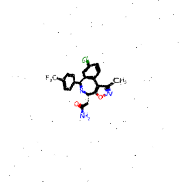 Cc1noc2c1-c1ccc(Cl)cc1C(c1ccc(C(F)(F)F)cc1)=N[C@H]2CC(N)=O